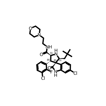 CC(C)(C)C[C@@H]1N[C@H](C(=O)NCCN2CCOCC2)[C@@H](c2cccc(Cl)c2F)[C@]12C(=O)Nc1cc(Cl)ccc12